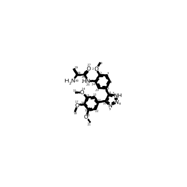 COc1ccc(-c2[nH]nnc2-c2cc(OC)c(OC)c(OC)c2)cc1NC(=O)C(C)N